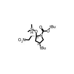 C[SiH](C)O[C@]1(CC[N+](=O)[O-])C[C@H](C(C)(C)C)CN1C(=O)OC(C)(C)C